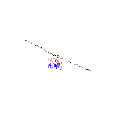 CCCCCCCCCCCCCCCCCCOC(CCCCCCCCCCCCCCCCCC)C(CO)(CO)CO.NN.NN